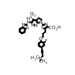 Cc1c(Nc2nc3ccccc3s2)nnc2c1CCN2c1nc(C(=O)O)c(CCCOc2ccc(C#CCN(C)C)cc2F)s1